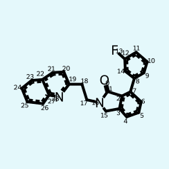 O=C1c2c(cccc2-c2cccc(F)c2)CN1CCc1ccc2ccccc2n1